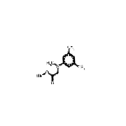 CN(CC(=O)OC(C)(C)C)c1cc(C(F)(F)F)cc(C(F)(F)F)c1